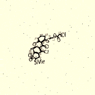 CSC1Cc2c(Cl)c(C(=O)C3=C(SCCOC(=O)CCl)CCCC3=O)cc(C)c2S1(=O)=O